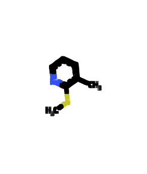 CSc1ncccc1C